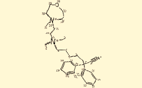 C[N+](C)(CCCCC(C#N)(c1ccccc1)c1ccccc1)CC[N+]1(C)CCOCC1